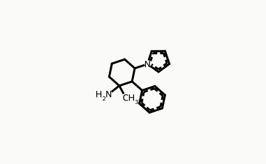 CC1(N)CCCC(n2cccc2)C1c1ccccc1